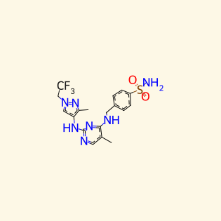 Cc1cnc(Nc2cn(CC(F)(F)F)nc2C)nc1NCc1ccc(S(N)(=O)=O)cc1